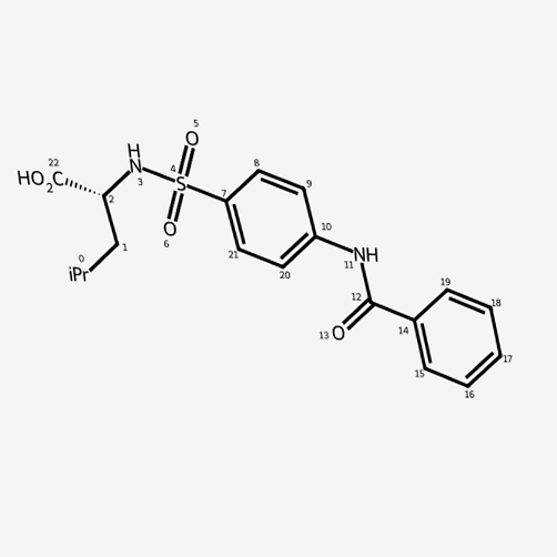 CC(C)C[C@@H](NS(=O)(=O)c1ccc(NC(=O)c2ccccc2)cc1)C(=O)O